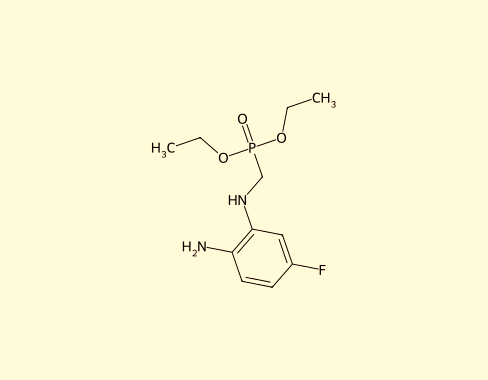 CCOP(=O)(CNc1cc(F)ccc1N)OCC